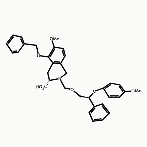 COc1ccc(O[C@H](COCN2Cc3ccc(OC)c(OCc4ccccc4)c3C[C@H]2C(=O)O)c2ccccc2)cc1